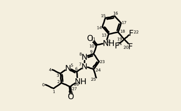 CCc1c(C)nc(-n2nc(C(=O)Nc3ccccc3C(F)(F)F)cc2C)[nH]c1=O